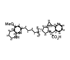 COc1cc(CCCCC(F)(F)[C@@H]2CCN([C@@H](C(=O)O)c3cccnc3C3CC3)C2)nc2c1CCCN2